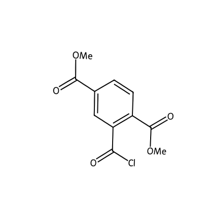 COC(=O)c1ccc(C(=O)OC)c(C(=O)Cl)c1